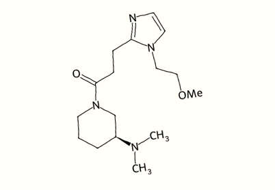 COCCn1ccnc1CCC(=O)N1CCC[C@H](N(C)C)C1